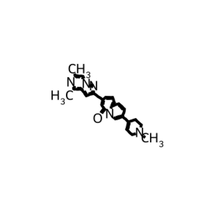 Cc1cn2nc(C3=C\C(=O)N4C=C(C5=CCN(C)CC5)C=C\C4=C/C=C/3)cc2c(C)n1